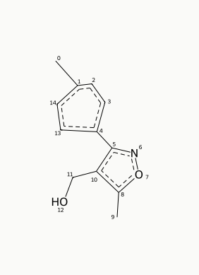 Cc1ccc(-c2noc(C)c2CO)cc1